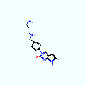 NCCCNCc1ccc(-n2cc3cc(I)[nH]c3nc2=O)cc1